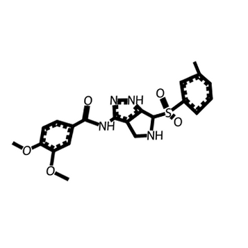 COc1ccc(C(=O)Nc2n[nH]c3c2CNC3S(=O)(=O)c2cccc(C)c2)cc1OC